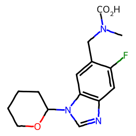 CN(Cc1cc2c(cc1F)ncn2C1CCCCO1)C(=O)O